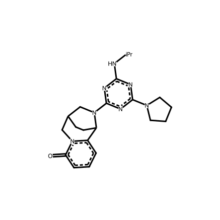 CC(C)Nc1nc(N2CCCC2)nc(N2CC3CCC2c2cccc(=O)n2C3)n1